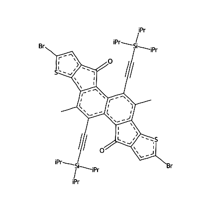 Cc1c(C#C[Si](C(C)C)(C(C)C)C(C)C)c2c(c(C#C[Si](C(C)C)(C(C)C)C(C)C)c(C)c3c4sc(Br)cc4c(=O)c32)c2c(=O)c3cc(Br)sc3c12